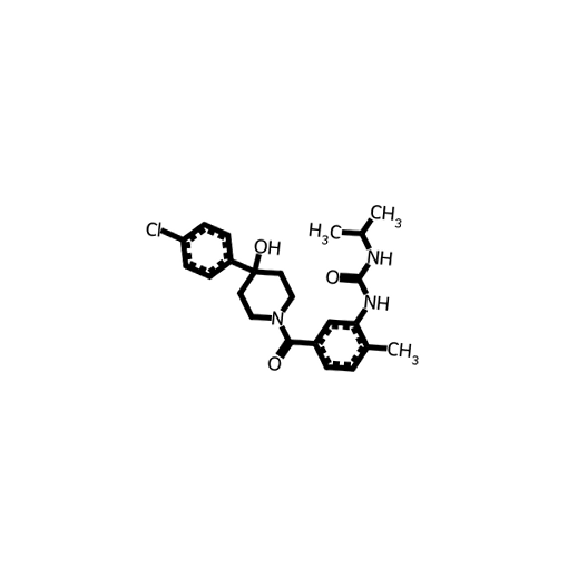 Cc1ccc(C(=O)N2CCC(O)(c3ccc(Cl)cc3)CC2)cc1NC(=O)NC(C)C